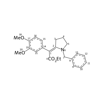 CCOC(=O)/C(=C1/CCCN1Cc1ccccc1)c1ccc(OC)c(OC)c1